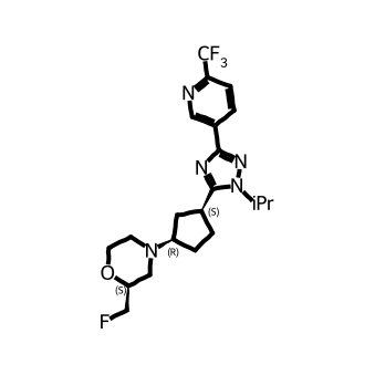 CC(C)n1nc(-c2ccc(C(F)(F)F)nc2)nc1[C@H]1CC[C@@H](N2CCO[C@H](CF)C2)C1